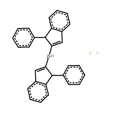 C1=[C]([Zr+2][C]2=Cc3ccccc3C2c2ccccc2)C(c2ccccc2)c2ccccc21.[F-].[F-]